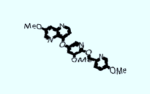 COc1ccc(COc2ncc(Oc3ccnc4cc(OC)cnc34)cc2OC)nc1